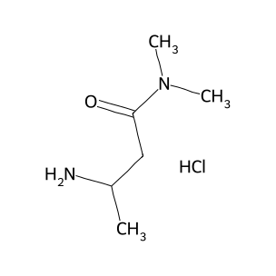 CC(N)CC(=O)N(C)C.Cl